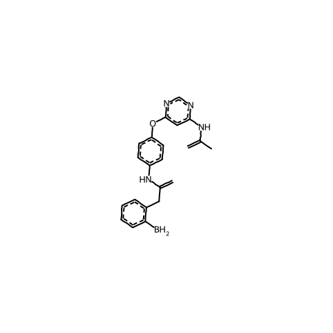 Bc1ccccc1CC(=C)Nc1ccc(Oc2cc(NC(=C)C)ncn2)cc1